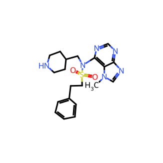 Cn1cnc2ncnc(N(CC3CCNCC3)S(=O)(=O)CCc3ccccc3)c21